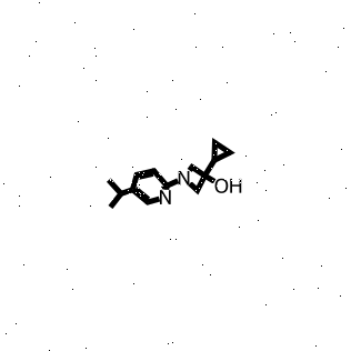 CC(C)c1ccc(N2CC(O)(C3CC3)C2)nc1